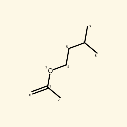 C=C(C)OCCC(C)C